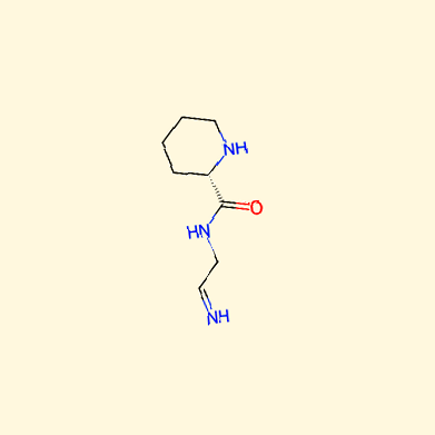 N=CCNC(=O)[C@@H]1CCCCN1